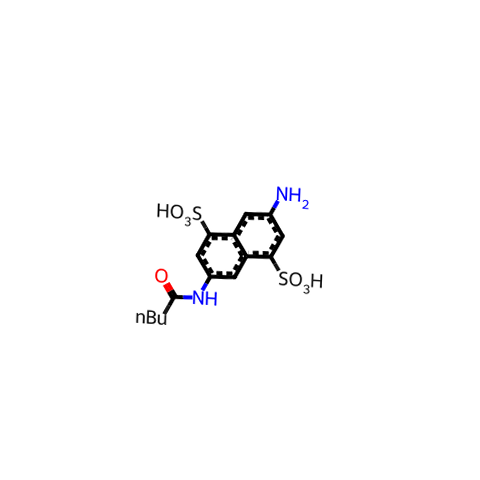 CCCCC(=O)Nc1cc(S(=O)(=O)O)c2cc(N)cc(S(=O)(=O)O)c2c1